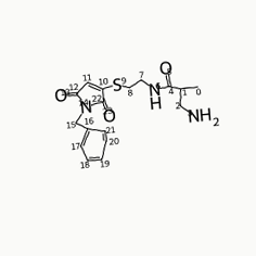 CC(CN)C(=O)NCCSC1=CC(=O)N(Cc2ccccc2)C1=O